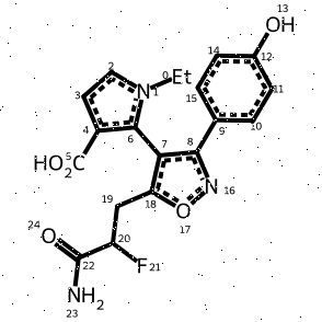 CCn1ccc(C(=O)O)c1-c1c(-c2ccc(O)cc2)noc1CC(F)C(N)=O